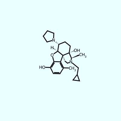 Cc1ccc(O)c2c1[C@]13CCN(CC4CC4)[C@H](C)[C@]1(O)CC[C@@H](N1CCCC1)[C@@H]3O2